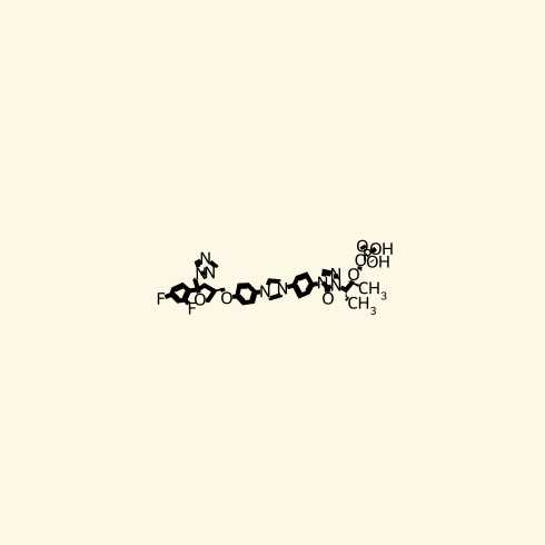 CC[C@@H]([C@H](C)OCOP(=O)(O)O)n1ncn(-c2ccc(N3CCN(c4ccc(OC[C@H]5COC(Cn6cncn6)(c6ccc(F)cc6F)C5)cc4)CC3)cc2)c1=O